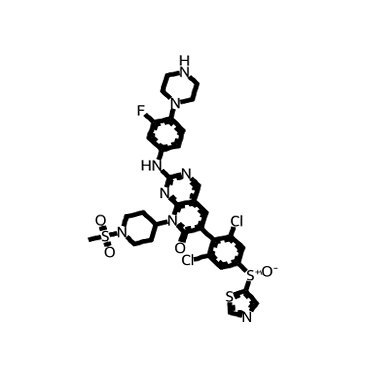 CS(=O)(=O)N1CCC(n2c(=O)c(-c3c(Cl)cc([S+]([O-])c4cncs4)cc3Cl)cc3cnc(Nc4ccc(N5CCNCC5)c(F)c4)nc32)CC1